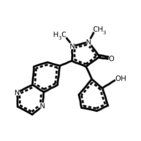 Cn1c(-c2ccc3nccnc3c2)c(-c2ccccc2O)c(=O)n1C